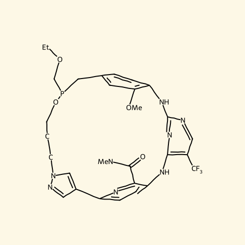 CCOCP1Cc2ccc(c(OC)c2)Nc2ncc(C(F)(F)F)c(n2)Nc2ccc(nc2C(=O)NC)-c2cnn(c2)CCCO1